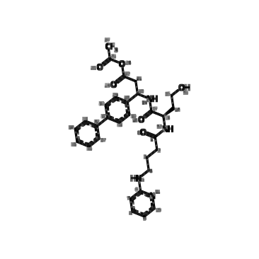 O=C(CCCNc1ccccn1)N[C@H](CCO)C(=O)NC(CC(=O)OC(=O)C(F)(F)F)c1ccc(-c2ccccc2)cc1